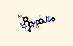 Cn1cnnc1-c1cc(C#N)ccc1-c1cc(C2CC2)nc(N2Cc3c(F)cc(CNCC4(F)CCC4)cc3C2=O)c1